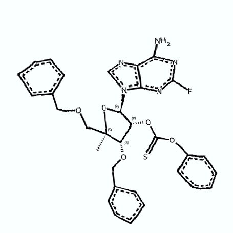 C[C@]1(COCc2ccccc2)O[C@@H](n2cnc3c(N)nc(F)nc32)[C@H](OC(=S)Oc2ccccc2)[C@@H]1OCc1ccccc1